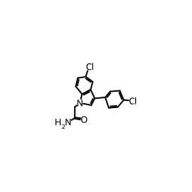 NC(=O)Cn1cc(-c2ccc(Cl)cc2)c2cc(Cl)ccc21